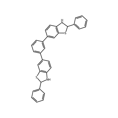 c1ccc(C2Nc3ccc(-c4cccc(-c5ccc6c(c5)SC(c5ccccc5)N6)c4)cc3S2)cc1